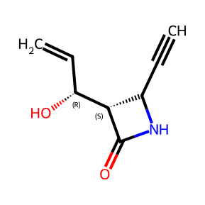 C#CC1NC(=O)[C@@H]1[C@H](O)C=C